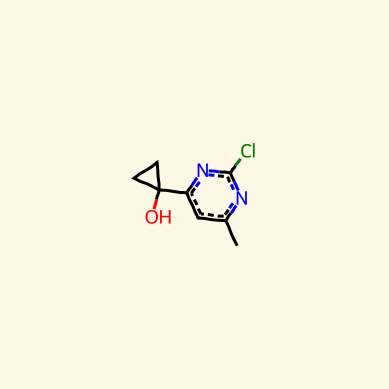 Cc1cc(C2(O)CC2)nc(Cl)n1